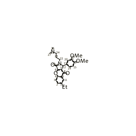 CCc1ccc2oc3c(c(=O)c2c1)C(c1ccc(OC)c(OC)c1)N(CCCN(C)C)C3=O